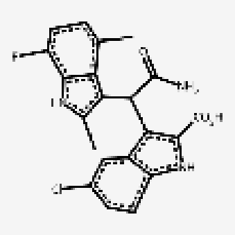 Cc1[nH]c2c(F)ccc(C)c2c1C(C(N)=O)c1c(C(=O)O)[nH]c2ccc(Cl)cc12